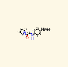 CN[C@H]1CC[C@H](NCC(=O)N2CCCC2)CC1